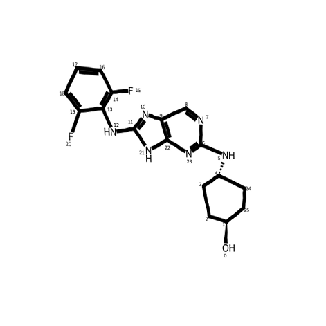 O[C@H]1CC[C@H](Nc2ncc3nc(Nc4c(F)cccc4F)[nH]c3n2)CC1